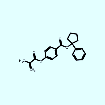 C=C(C)C(=O)Oc1ccc(C(=O)OC2(c3ccccc3)CCCC2)cc1